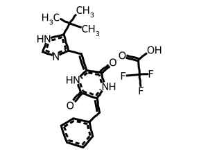 CC(C)(C)c1[nH]cnc1C=c1[nH]c(=O)c(=Cc2ccccc2)[nH]c1=O.O=C(O)C(F)(F)F